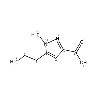 CCCc1cc(C(=O)O)nn1C